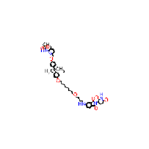 CC(C)(c1ccc(OCCCCCCCCOCCCCNc2ccc3c(c2)C(=O)N(C2CCC(=O)NC2=O)C3=O)cc1)c1ccc(OCc2cccc(NS(C)(=O)=O)n2)cc1